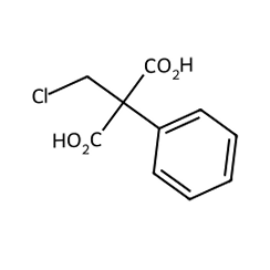 O=C(O)C(CCl)(C(=O)O)c1ccccc1